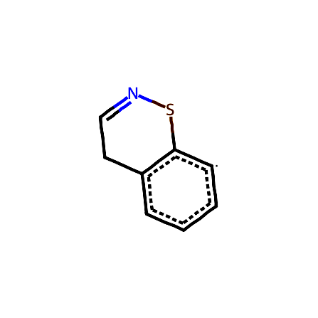 [c]1cccc2c1SN=CC2